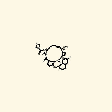 CO[C@H]1/C=C/CCC[S@@](=O)(NC(=O)C2COC2)=NC(=O)c2ccc3c(c2)N(C[C@@H]2CC[C@H]21)C[C@@]1(CCCc2cc(Cl)ccc21)CO3